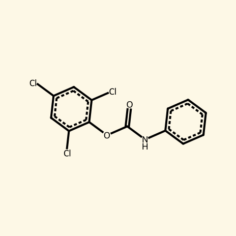 O=C(Nc1ccccc1)Oc1c(Cl)cc(Cl)cc1Cl